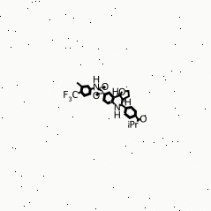 Cc1cc(NS(=O)(=O)c2ccc3c(c2)[C@H]2OCC[C@H]2C(c2ccc(C(=O)C(C)C)cc2)N3)ccc1C(F)(F)F